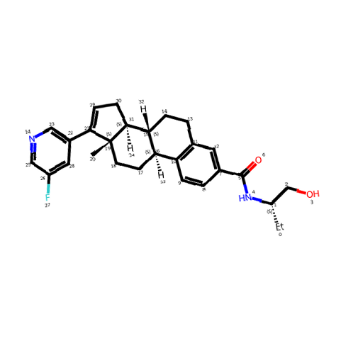 CC[C@@H](CO)NC(=O)c1ccc2c(c1)CC[C@@H]1[C@@H]2CC[C@]2(C)C(c3cncc(F)c3)=CC[C@@H]12